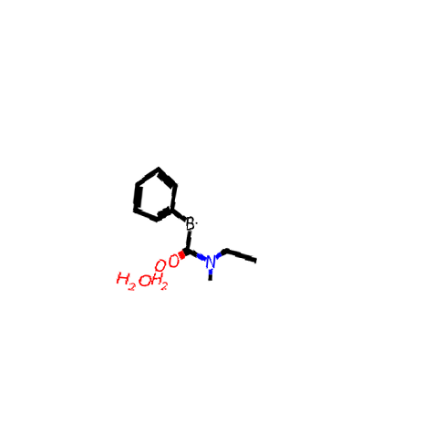 CCN(C)C(=O)[B]c1ccccc1.O.O